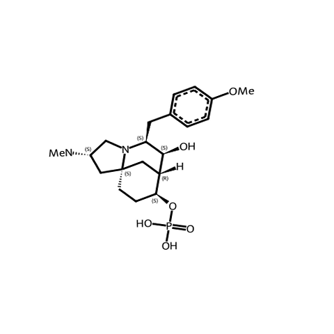 CN[C@@H]1CN2[C@@H](Cc3ccc(OC)cc3)[C@@H](O)[C@H]3C[C@@]2(CC[C@@H]3OP(=O)(O)O)C1